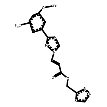 CC(C)Oc1cc(-c2ncn(/C=C/C(=O)OCc3nncs3)n2)cc(C(F)(F)F)c1